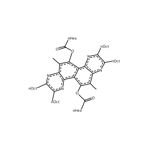 CCCCCCCCc1nc2c(C)c(OC(=O)CCCCCC)c3c4nc(CCCCCCCC)c(CCCCCCCC)nc4c(C)c(OC(=O)CCCCCC)c3c2nc1CCCCCCCC